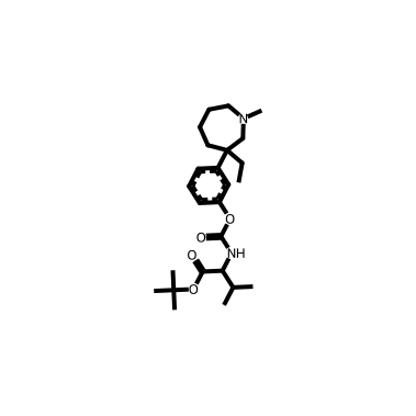 CCC1(c2cccc(OC(=O)NC(C(=O)OC(C)(C)C)C(C)C)c2)CCCCN(C)C1